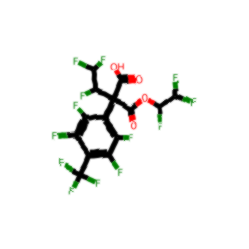 O=C(O)C(C(=O)OC(F)C(F)F)(c1c(F)c(F)c(C(F)(F)F)c(F)c1F)C(F)C(F)F